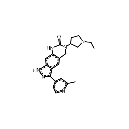 CCN1CCC(N2Cc3cc4c(-c5ccnc(C)c5)n[nH]c4cc3NC2=O)C1